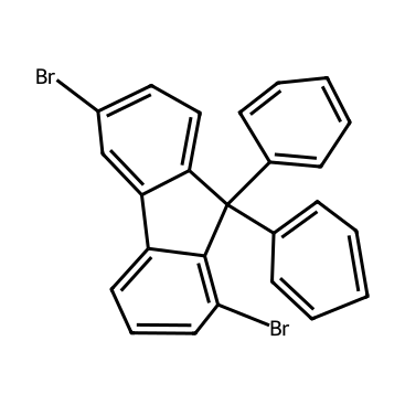 Brc1ccc2c(c1)-c1cccc(Br)c1C2(c1ccccc1)c1ccccc1